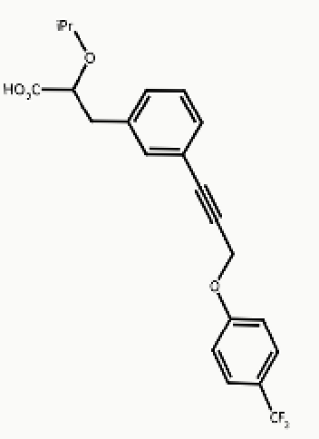 CC(C)OC(Cc1cccc(C#CCOc2ccc(C(F)(F)F)cc2)c1)C(=O)O